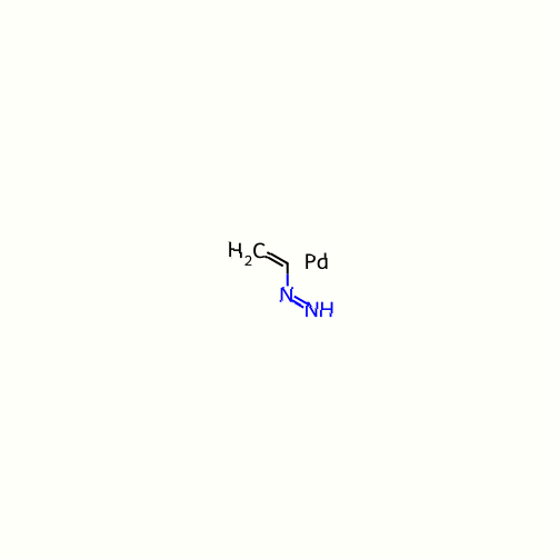 C=CN=N.[Pd]